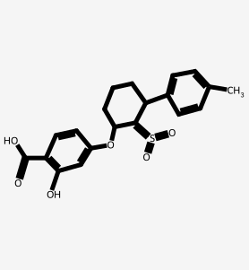 Cc1ccc(C2CCCC(Oc3ccc(C(=O)O)c(O)c3)C2=S(=O)=O)cc1